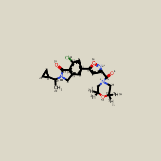 [2H]C1([2H])CN(C(=O)c2cc(-c3cc(Cl)c4c(c3)CN(C(C)C3CC3)C4=O)on2)CC([2H])([2H])O1